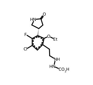 CCOc1c(CCNNC(=O)O)cc(Cl)c(F)c1[C@@H]1CNC(=O)C1